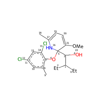 CCC(CC)C(O)C1(Oc2c(C)cc(Cl)cc2Cl)NC(C)=CC=C1OC